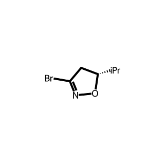 CC(C)[C@H]1CC(Br)=NO1